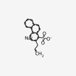 C=CCc1ccc2c(ccc3ccccc32)c1S(=O)(=O)[O-].[Na+]